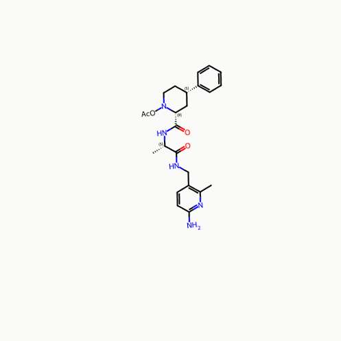 CC(=O)ON1CC[C@H](c2ccccc2)C[C@@H]1C(=O)N[C@@H](C)C(=O)NCc1ccc(N)nc1C